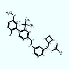 COc1ccc(F)c(-c2ccc(COc3cccc([C@@H](CC(=O)O)C4CCC4)c3)cc2C(C)(C)C)c1